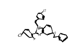 Fc1cc(Cl)ccc1-c1nc2cc(OCc3ccccc3)ccc2n1Cc1ccc(Cl)cc1